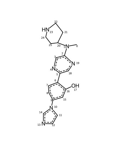 CN(c1cnc(-c2ccc(-n3ccnc3)cc2O)cn1)C1CCNCC1